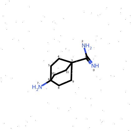 N=C(N)C12CCC(N)(CC1)CC2